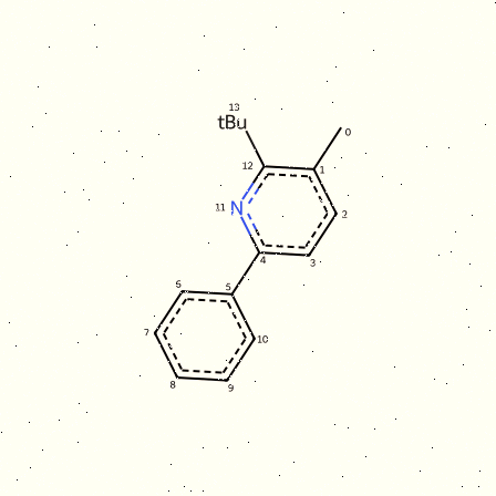 Cc1ccc(-c2ccccc2)nc1C(C)(C)C